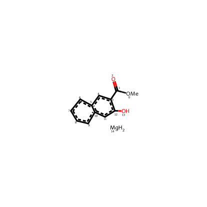 COC(=O)c1cc2ccccc2cc1O.[MgH2]